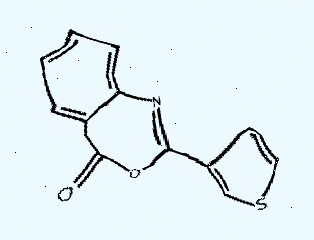 O=c1oc(-c2ccsc2)nc2ccccc12